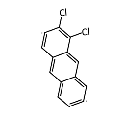 Clc1[c]cc2cc3cc[c]cc3cc2c1Cl